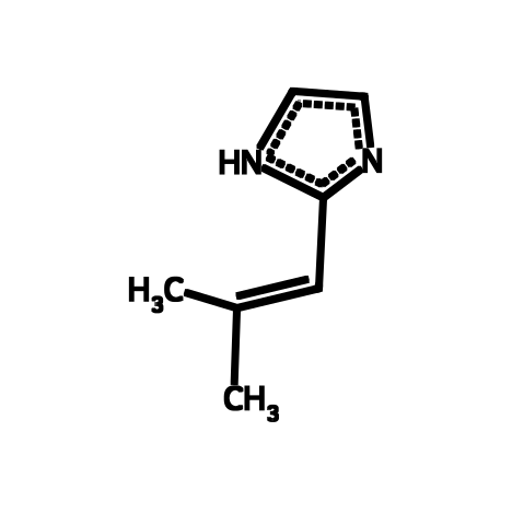 CC(C)=Cc1ncc[nH]1